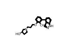 Cc1c(OCCCN2CC[C@@H](O)C2)cccc1-c1cccc2[nH]ncc12